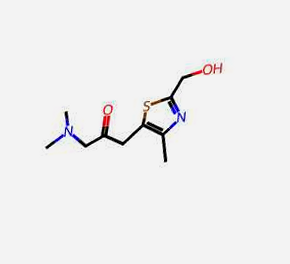 Cc1nc(CO)sc1CC(=O)CN(C)C